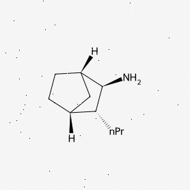 CCC[C@@H]1[C@@H]2CC[C@@H](C2)[C@H]1N